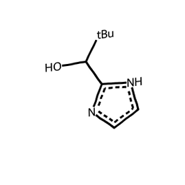 CC(C)(C)C(O)c1ncc[nH]1